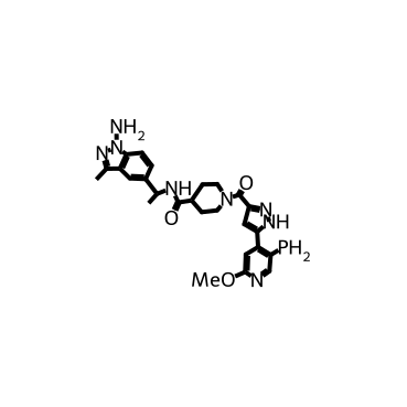 COc1cc(-c2cc(C(=O)N3CCC(C(=O)NC(C)c4ccc5c(c4)c(C)nn5N)CC3)n[nH]2)c(P)cn1